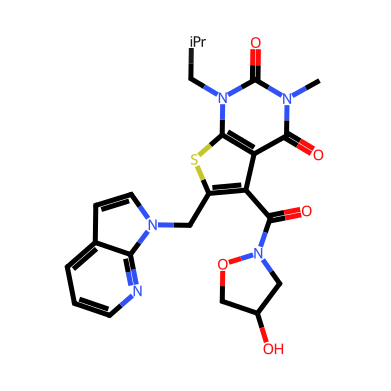 CC(C)Cn1c(=O)n(C)c(=O)c2c(C(=O)N3CC(O)CO3)c(Cn3ccc4cccnc43)sc21